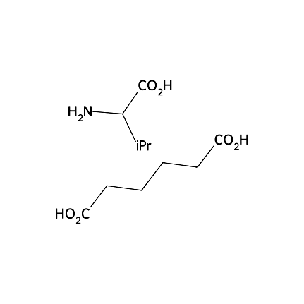 CC(C)C(N)C(=O)O.O=C(O)CCCCC(=O)O